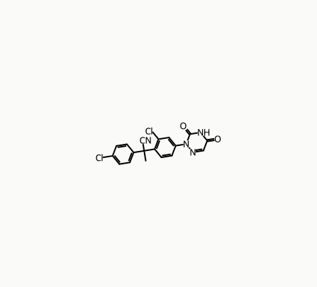 CC(C#N)(c1ccc(Cl)cc1)c1ccc(-n2ncc(=O)[nH]c2=O)cc1Cl